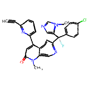 C#Cc1cccc(-c2cc(=O)n(C)c3cnc([C@](F)(c4ccc(Cl)cc4)c4cncn4C)cc23)n1